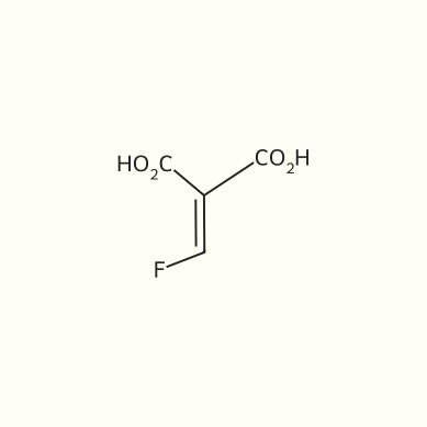 O=C(O)C(=CF)C(=O)O